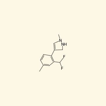 Cc1ccc(C2=CN(C)NC2)c(C(F)F)c1